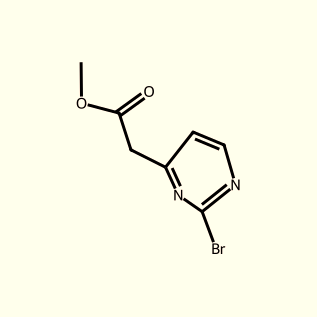 COC(=O)Cc1ccnc(Br)n1